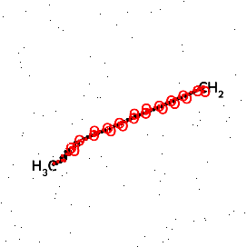 C=C(C=O)COCCCCCC(=O)OCCCCC(=O)OCCCCC(=O)OCCCCCC(=O)OCCCCC(=O)OCCCCCC(=O)OCCCCC(=O)OCCCCCC(=O)OCCCCCCOc1ccc(C(=O)Oc2ccc(C3CCC(CCCCC)CC3)cc2)cc1